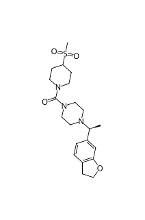 C[C@@H](c1ccc2c(c1)OCC2)N1CCN(C(=O)N2CCC(S(C)(=O)=O)CC2)CC1